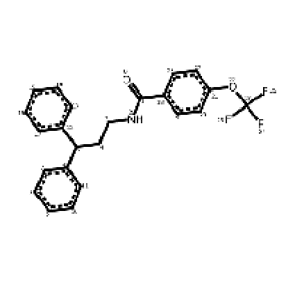 O=C(NCCC(c1ccccc1)c1ccccc1)c1ccc(OC(F)(F)F)cc1